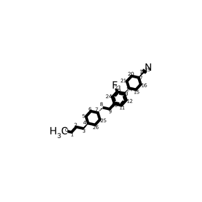 CCCC[C@H]1CC[C@H](CCc2ccc([C@H]3CC[C@H](C#N)CC3)c(F)c2)CC1